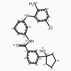 Nc1ncc(Cl)cc1Oc1cccc(NC(=O)c2cccc(C3(O)CCCC3)c2)c1